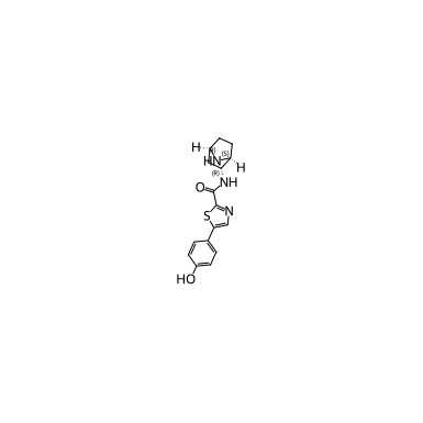 O=C(N[C@@H]1C[C@H]2CC[C@@H]1N2)c1ncc(-c2ccc(O)cc2)s1